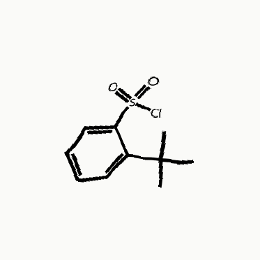 CC(C)(C)c1ccccc1S(=O)(=O)Cl